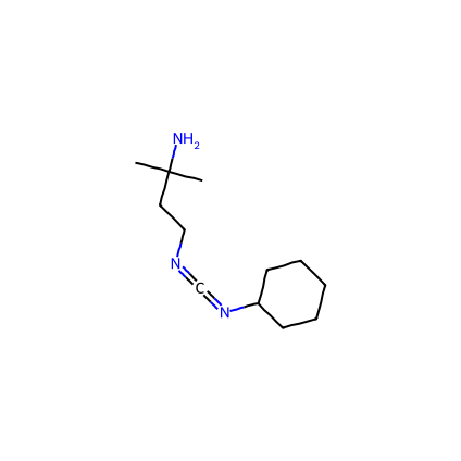 CC(C)(N)CCN=C=NC1CCCCC1